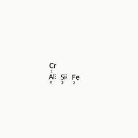 [Al].[Cr].[Fe].[Si]